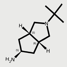 CC(C)(C)N1C[C@H]2C[C@H](N)C[C@H]2C1